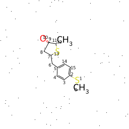 CSc1ccc(CC2CC(=O)C(C)S2)cc1